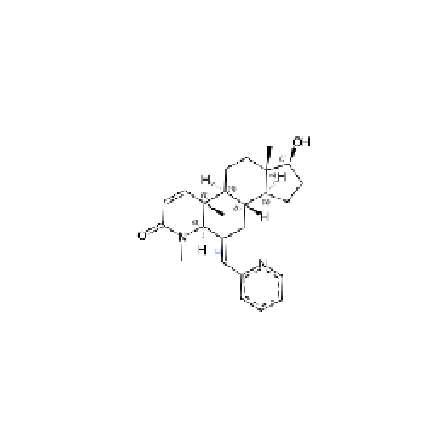 CN1C(=O)C=C[C@]2(C)[C@H]3CC[C@]4(C)[C@@H](O)CC[C@H]4[C@@H]3C/C(=C\c3ccccn3)[C@@H]12